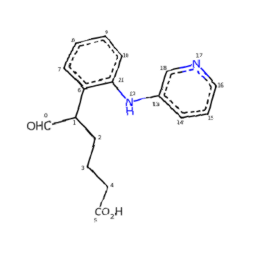 O=CC(CCCC(=O)O)c1ccccc1Nc1cccnc1